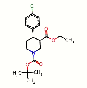 CCOC(=O)[C@H]1CN(C(=O)OC(C)(C)C)CC[C@@H]1c1ccc(Cl)cc1